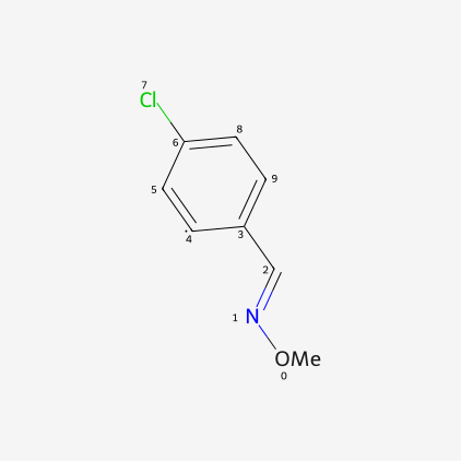 CON=Cc1[c]cc(Cl)cc1